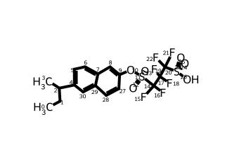 CCC(C)c1ccc2cc(OS(=O)(=O)C(F)(F)C(F)(F)C(F)(F)S(=O)(=O)O)ccc2c1